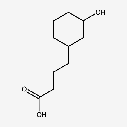 O=C(O)CCCC1CCCC(O)C1